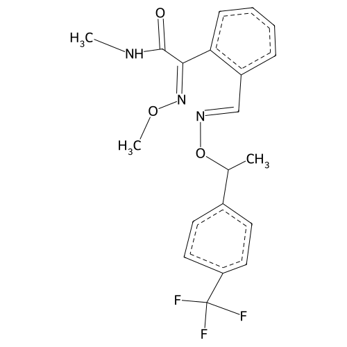 CNC(=O)C(=NOC)c1ccccc1C=NOC(C)c1ccc(C(F)(F)F)cc1